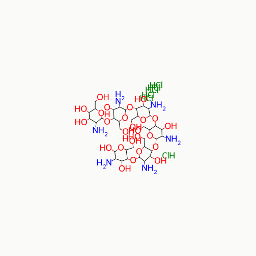 Cl.Cl.Cl.Cl.Cl.Cl.NC1C(OC2C(CO)OC(OC3C(CO)OC(OC4C(CO)OC(OC5C(CO)OC(OC6C(CO)OC(O)C(N)C6O)C(N)C5O)C(N)C4O)C(N)C3O)C(N)C2O)OC(CO)C(O)C1O